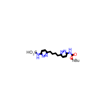 CCCCOC(=O)Nc1ccc(CCCCc2ccc(NC(=O)O)nn2)nn1